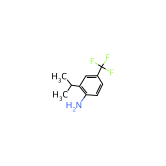 CC(C)c1cc(C(F)(F)F)ccc1N